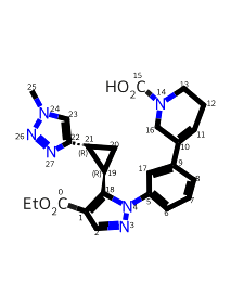 CCOC(=O)c1cnn(-c2cccc(C3=CCCN(C(=O)O)C3)c2)c1[C@@H]1C[C@H]1c1cn(C)nn1